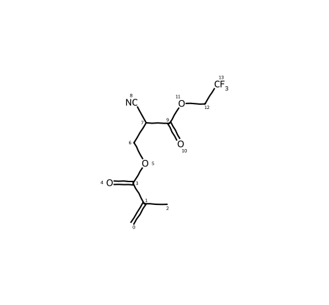 C=C(C)C(=O)OCC(C#N)C(=O)OCC(F)(F)F